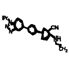 C=CCNc1ccc(-c2ccc(-c3ccc4c(c3)nnn4C(C)C)cc2)cc1C#N